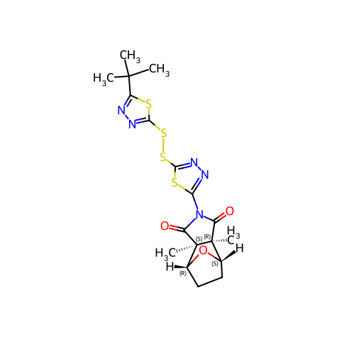 CC(C)(C)c1nnc(SSc2nnc(N3C(=O)[C@@]4(C)[C@@H]5CC[C@@H](O5)[C@@]4(C)C3=O)s2)s1